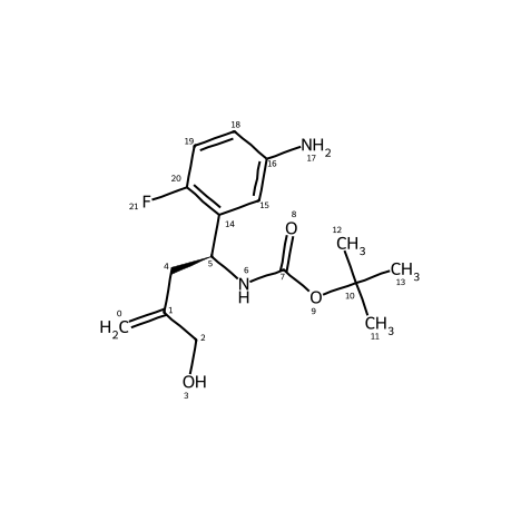 C=C(CO)C[C@H](NC(=O)OC(C)(C)C)c1cc(N)ccc1F